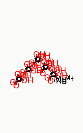 O=C([O-])c1cc(O)c(O)c(O)c1.O=C([O-])c1cc(O)c(O)c(O)c1.O=C([O-])c1cc(O)c(O)c(O)c1.O=C([O-])c1cc(O)c(O)c(O)c1.O=C([O-])c1cc(O)c(O)c(O)c1.[Mg+2].[Nd+3]